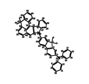 CC1(C)c2cc(N(c3ccccc3)c3ccccc3)ccc2-c2ccc(-n3c4ccccc4c4c5c6c(cccc6cc43)C(C)(C)c3ccccc3-5)cc21